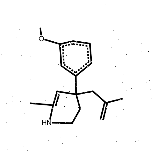 C=C(C)CC1(c2cccc(OC)c2)C=C(C)NCC1